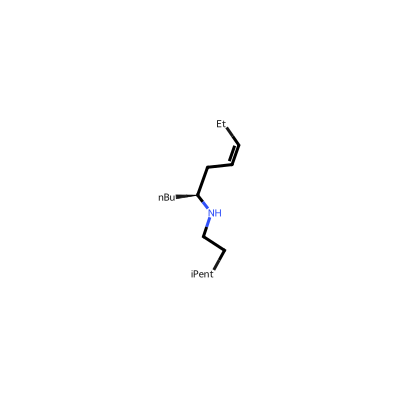 CC/C=C\C[C@H](CCCC)NCCC(C)CCC